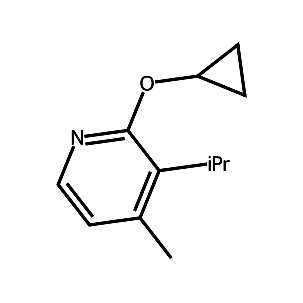 Cc1ccnc(OC2CC2)c1C(C)C